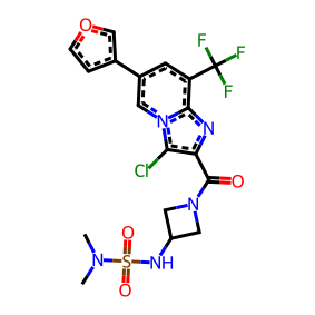 CN(C)S(=O)(=O)NC1CN(C(=O)c2nc3c(C(F)(F)F)cc(-c4ccoc4)cn3c2Cl)C1